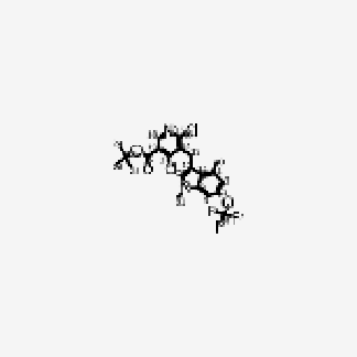 Cc1cc(OC(F)(F)F)cc2c1c(Cc1c(Cl)ncc(C(=O)OC(C)(C)C)c1Cl)cn2C